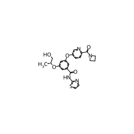 C[C@@H](CO)Oc1cc(Oc2ccc(C(=O)N3CCC3)nc2)cc(C(=O)Nc2nccs2)c1